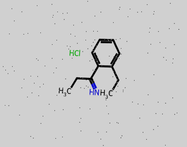 CCC(=N)c1ccccc1CC.Cl